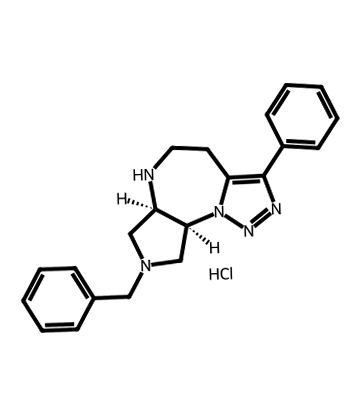 Cl.c1ccc(CN2C[C@H]3NCCc4c(-c5ccccc5)nnn4[C@H]3C2)cc1